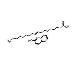 CCCCCCCCC=CCCCCCCCC(=O)O.Oc1ccc2ccccc2n1